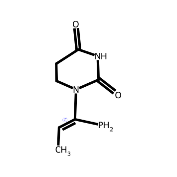 C/C=C(\P)N1CCC(=O)NC1=O